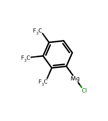 FC(F)(F)c1cc[c]([Mg][Cl])c(C(F)(F)F)c1C(F)(F)F